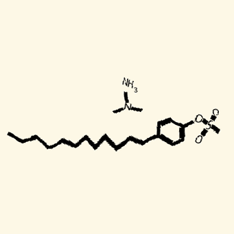 CCCCCCCCCCCCc1ccc(OS(C)(=O)=O)cc1.CN(C)C.N